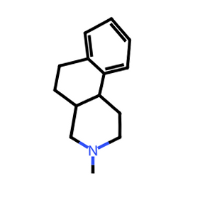 CN1CCC2c3ccccc3CCC2C1